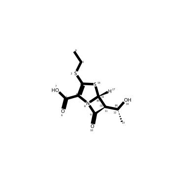 CCSC1=C(C(=O)O)N2C(=O)[C@H]([C@@H](C)O)[C@H]2S1